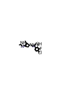 CNC/C(=C\NC1CC2/C(=N/C(C)=N)C23C(C)C13)c1ccc(Cl)c(F)c1F